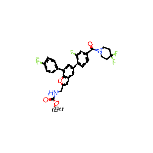 CC(C)(C)OC(=O)NCc1cc2cc(-c3ccc(C(=O)N4CCC(F)(F)CC4)cc3F)cc(-c3ccc(F)cc3)c2o1